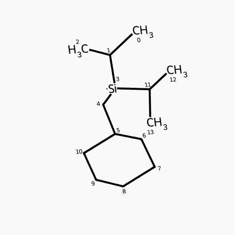 CC(C)[Si](CC1CCCCC1)C(C)C